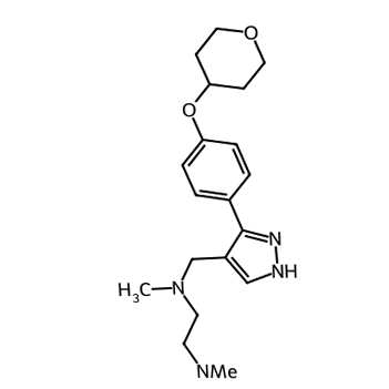 CNCCN(C)Cc1c[nH]nc1-c1ccc(OC2CCOCC2)cc1